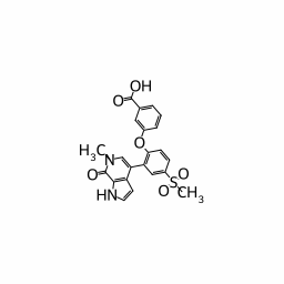 Cn1cc(-c2cc(S(C)(=O)=O)ccc2Oc2cccc(C(=O)O)c2)c2cc[nH]c2c1=O